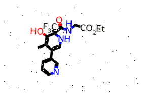 CCOC(=O)CNC(=O)C1(C(F)(F)F)NC=C(c2cccnc2)C(C)=C1O